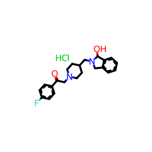 Cl.O=C(CN1CCC(CN2Cc3ccccc3C2O)CC1)c1ccc(F)cc1